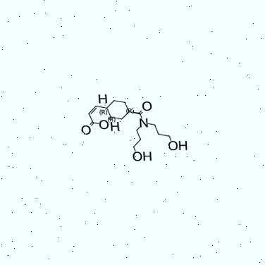 O=C1C=C[C@H]2CC[C@@H](C(=O)N(CCCO)CCCO)C[C@H]2O1